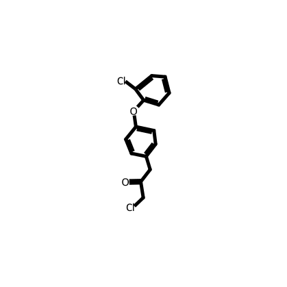 O=C(CCl)Cc1ccc(Oc2ccccc2Cl)cc1